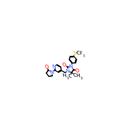 CC1(C)C(=O)N(c2ccc(SC(F)(F)F)cc2)C(=O)N1Cc1ccnc(N2CCCC2=O)c1